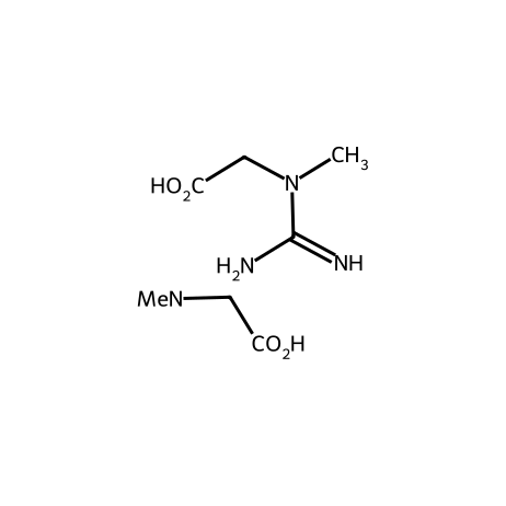 CN(CC(=O)O)C(=N)N.CNCC(=O)O